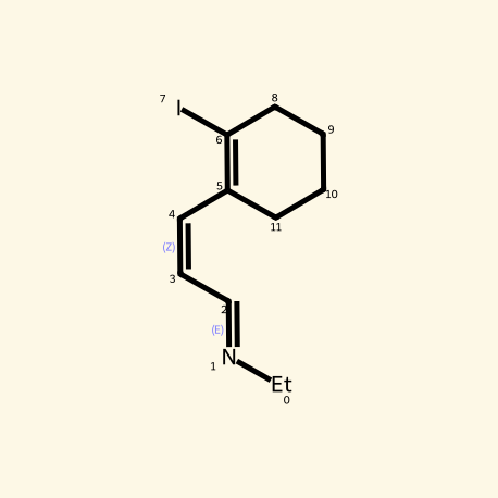 CC/N=C/C=C\C1=C(I)CCCC1